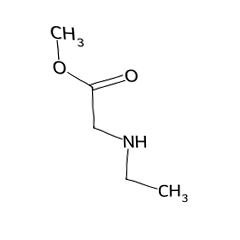 CCNCC(=O)OC